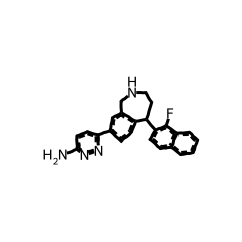 Nc1ccc(-c2ccc3c(c2)CNCCC3c2ccc3ccccc3c2F)nn1